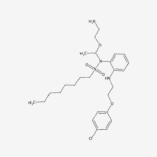 CCCCCCCCS(=O)(=O)N(c1ccccc1NCCOc1ccc(Cl)cc1)C(C)OCCN